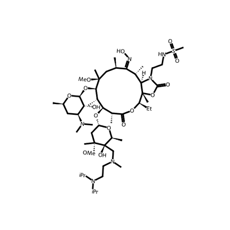 CC[C@H]1OC(=O)[C@H](C)[C@@H](O[C@H]2C[C@@](C)(OC)[C@@](O)(CN(C)CCN(C(C)C)C(C)C)[C@H](C)O2)[C@H](C)[C@@H](O[C@@H]2O[C@H](C)C[C@H](N(C)C)[C@H]2O)[C@@](C)(OC)C[C@@H](C)C(=NO)[C@H](C)[C@H]2N(CCNS(C)(=O)=O)C(=O)O[C@]12C